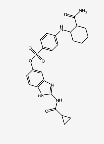 NC(=O)C1CCCCC1Nc1ccc(S(=O)(=O)Oc2ccc3[nH]c(NC(=O)C4CC4)nc3c2)cc1